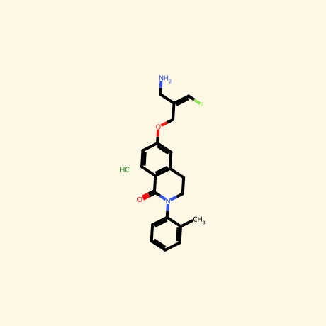 Cc1ccccc1N1CCc2cc(OC/C(=C\F)CN)ccc2C1=O.Cl